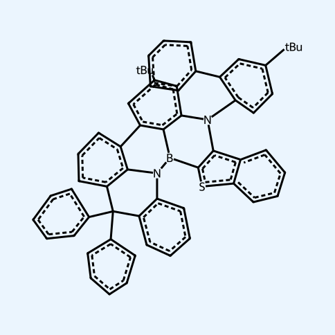 CC(C)(C)c1ccc(N2c3cc(C(C)(C)C)cc4c3B(c3sc5ccccc5c32)N2c3ccccc3C(c3ccccc3)(c3ccccc3)c3cccc-4c32)c(-c2ccccc2)c1